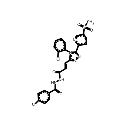 CS(=O)(=O)c1ccc(-c2nnc(/C=C/C(=O)NNC(=O)c3ccc(Cl)cc3)n2-c2ccccc2Cl)nc1